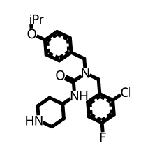 CC(C)Oc1ccc(CN(Cc2ccc(F)cc2Cl)C(=O)NC2CCNCC2)cc1